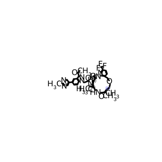 CC(=O)c1nn(CC(=O)N2[C@H]3C[C@](C)(CNC(=O)C(C)(C)/C=C/COCc4ccc(C(F)(F)F)nc4NC3=O)[C@H]2C)c2ccc(-c3cnc(C)nc3)cc12